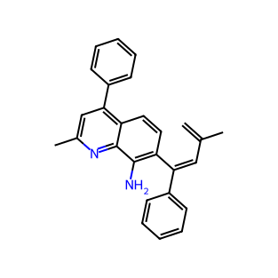 C=C(C)/C=C(/c1ccccc1)c1ccc2c(-c3ccccc3)cc(C)nc2c1N